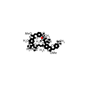 COc1nc2c(C)cc(C(OC(=O)CCC(=O)OC(c3cc(C)c4nc(OC)c(Cc5ccc(S(C)(=O)=O)cc5)c(Cl)c4c3)(c3cncn3C)c3cncn3C)(c3cncn3C)c3cncn3C)cc2c(Cl)c1Cc1ccc(S(C)(=O)=O)cc1